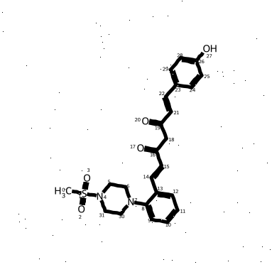 CS(=O)(=O)N1CCN(c2ccccc2/C=C/C(=O)CC(=O)/C=C/c2ccc(O)cc2)CC1